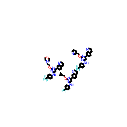 FC(F)(F)c1ccc(Nc2cc(-c3ccc4cccnc4c3)nc(OCC3CC3)n2)cc1.FC(F)(F)c1ccc(Nc2cc(-c3ccc4cccnc4c3)nc(OCCN3CCOCC3)n2)cc1.FC(F)(F)c1ccc(Nc2cc(-c3ccc4cccnc4c3)nc(OCc3cccnc3)n2)cc1